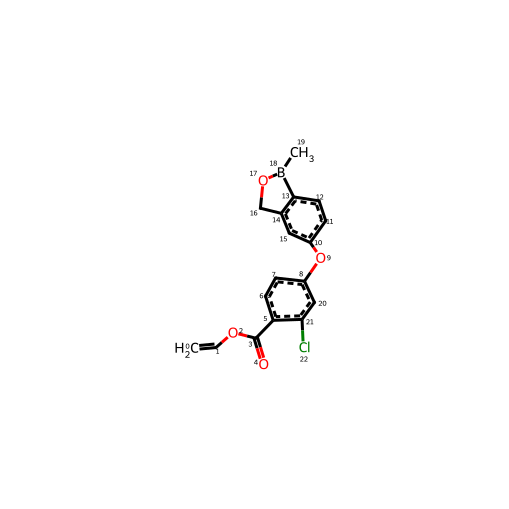 C=COC(=O)c1ccc(Oc2ccc3c(c2)COB3C)cc1Cl